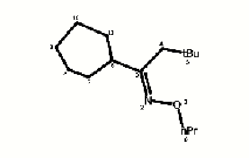 CCCO/N=C(\CC(C)(C)C)C1CCCCC1